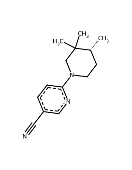 C[C@@H]1CCN(c2ccc(C#N)cn2)CC1(C)C